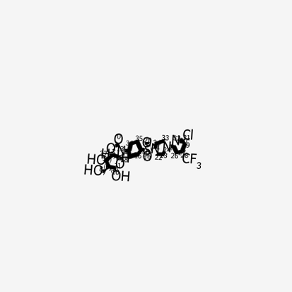 O=C1O[C@@H]2[C@@H](O)[C@H](CO)[C@@H](O)O[C@@H]2N1c1ccc(S(=O)(=O)N2CCN(c3cc(C(F)(F)F)cc(Cl)n3)CC2)cc1